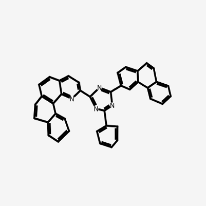 c1ccc(-c2nc(-c3ccc4ccc5ccccc5c4c3)nc(-c3ccc4ccc5ccc6ccccc6c5c4n3)n2)cc1